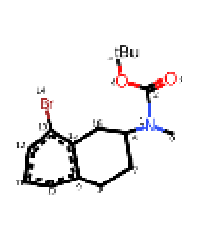 CN(C(=O)OC(C)(C)C)C1CCc2cccc(Br)c2C1